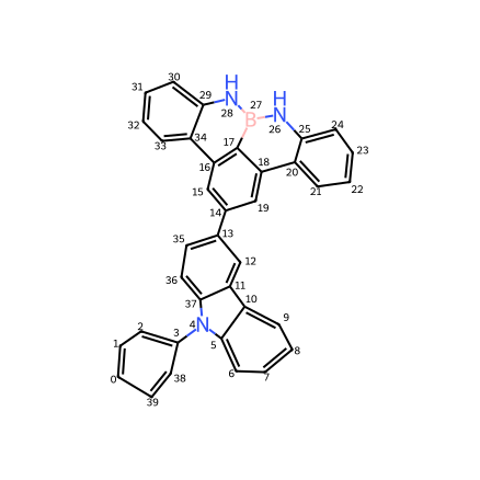 c1ccc(-n2c3ccccc3c3cc(-c4cc5c6c(c4)-c4ccccc4NB6Nc4ccccc4-5)ccc32)cc1